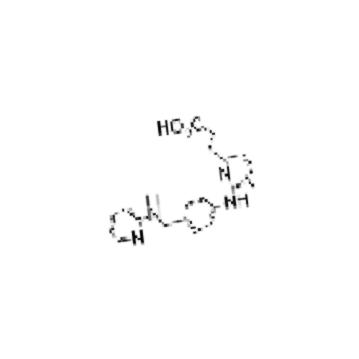 O=C(O)CCc1ccnc(Nc2ccc(CNc3ccccn3)cc2)n1